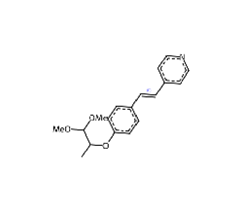 COC(OC)C(C)Oc1ccc(/C=C/c2ccncc2)cc1